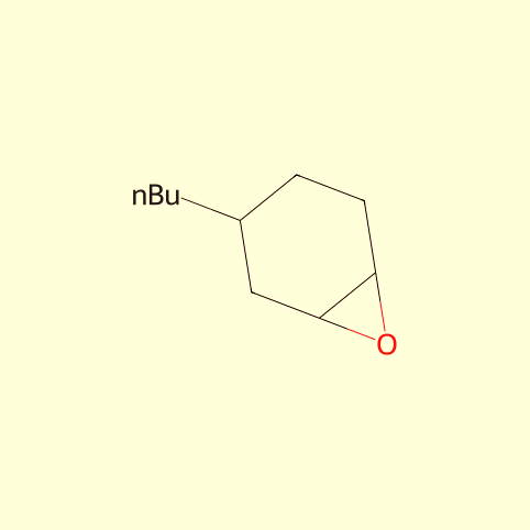 [CH2]CCCC1CCC2OC2C1